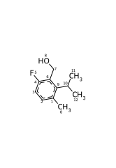 Cc1ccc(F)c(CO)c1C(C)C